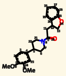 COc1ccc(C2CCN(C(=O)CC3COc4ccccc43)CC2)cc1OC